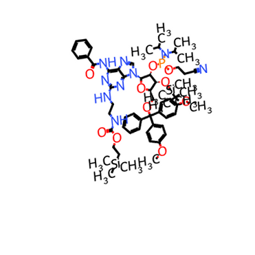 COc1ccc(C(OC[C@H]2O[C@@H](n3cnc4c(NC(=O)c5ccccc5)nc(NCCNC(=O)OCC[Si](C)(C)C)nc43)[C@H](OP(OCCC#N)N(C(C)C)C(C)C)[C@@H]2O[Si](C)(C)C(C)(C)C)(c2ccccc2)c2ccc(OC)cc2)cc1